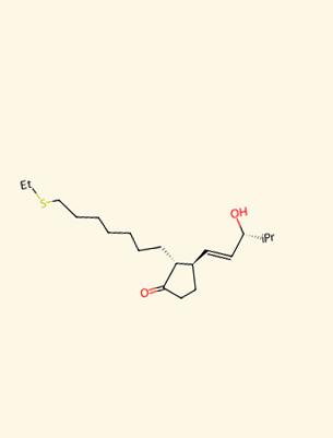 CCSCCCCCCC[C@H]1C(=O)CC[C@@H]1/C=C/[C@H](O)C(C)C